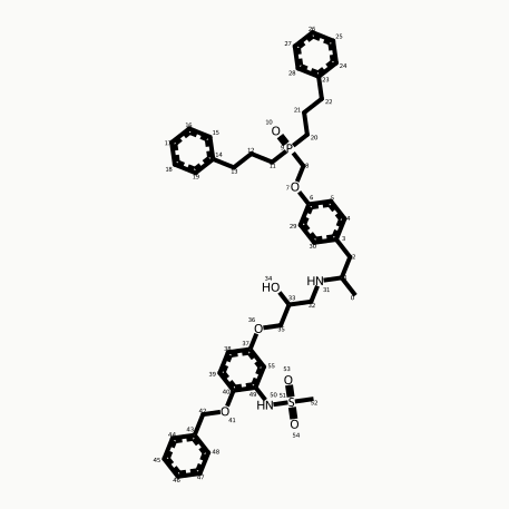 CC(Cc1ccc(OCP(=O)(CCCc2ccccc2)CCCc2ccccc2)cc1)NCC(O)COc1ccc(OCc2ccccc2)c(NS(C)(=O)=O)c1